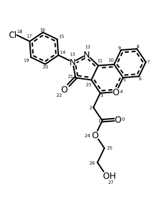 O=C(Cc1oc2ccccc2c2nn(-c3ccc(Cl)cc3)c(=O)c1-2)OCCO